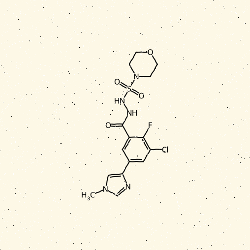 Cn1cnc(-c2cc(Cl)c(F)c(C(=O)NNS(=O)(=O)N3CCOCC3)c2)c1